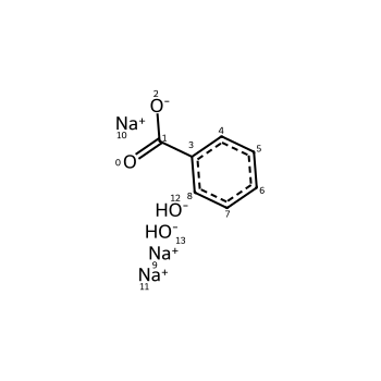 O=C([O-])c1ccccc1.[Na+].[Na+].[Na+].[OH-].[OH-]